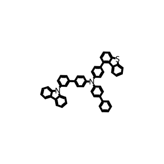 c1ccc(-c2ccc(N(c3ccc(-c4cccc(-n5c6ccccc6c6ccccc65)c4)cc3)c3ccc(-c4cccc5sc6ccccc6c45)cc3)cc2)cc1